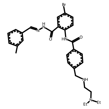 CCN(CC)CCNCc1ccc(C(=O)Nc2ccc(Br)cc2C(=O)NN=Cc2cccc(C)c2)cc1